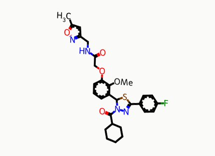 COc1c(OCC(=O)NCc2cc(C)on2)cccc1C1SC(c2ccc(F)cc2)=NN1C(=O)C1CCCCC1